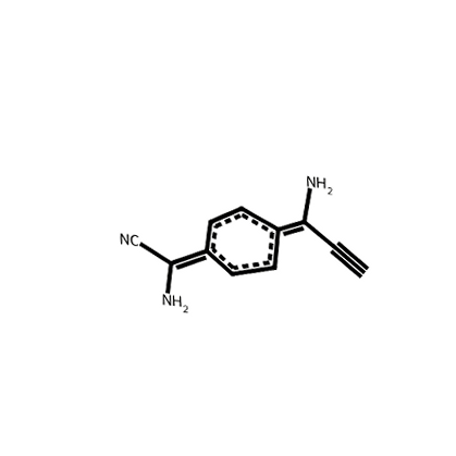 C#CC(N)=c1ccc(=C(N)C#N)cc1